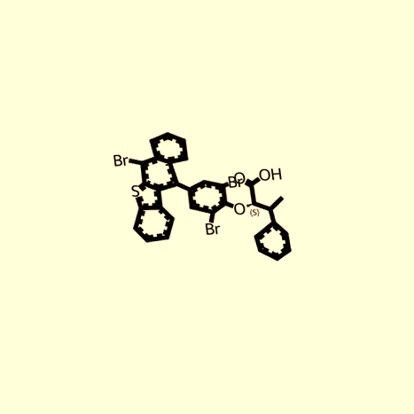 CC(c1ccccc1)[C@H](Oc1c(Br)cc(-c2c3ccccc3c(Br)c3sc4ccccc4c23)cc1Br)C(=O)O